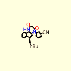 CCCCC#Cc1cc2c(c3ccccc13)NC(=O)CC(=O)N2c1cccc(C#N)c1